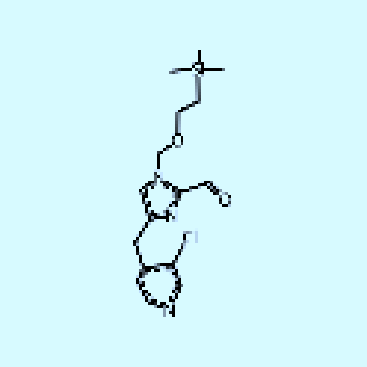 C[Si](C)(C)CCOCn1cc(Cc2ccncc2Cl)nc1C=O